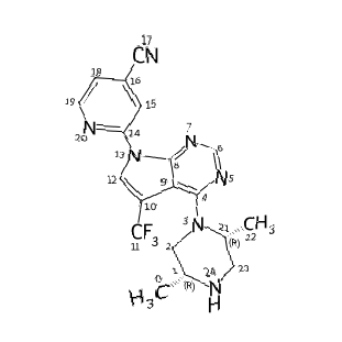 C[C@@H]1CN(c2ncnc3c2c(C(F)(F)F)cn3-c2cc(C#N)ccn2)[C@H](C)CN1